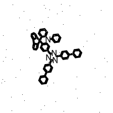 c1ccc(-c2ccc(-c3nc(-c4ccc(-c5ccccc5)cc4)nc(-c4ccc5c(c4)N(c4ccccc4)c4ccccc4C54c5ccccc5-c5ccccc54)n3)cc2)cc1